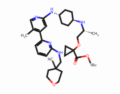 Cc1cnc(N[C@H]2CC[C@H](N[C@H](C)COC3(C(=O)OC(C)(C)C)CC3)CC2)cc1-c1cccc(NCC2(C#N)CCOCC2)n1